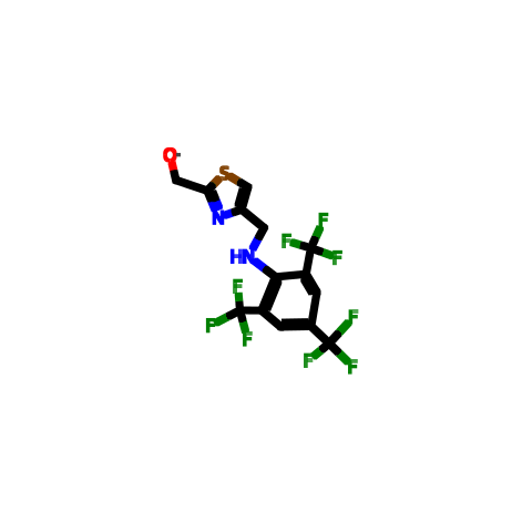 [O]Cc1nc(CNc2c(C(F)(F)F)cc(C(F)(F)F)cc2C(F)(F)F)cs1